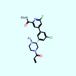 C=CC(=O)N1CCN(C(C)=O)[C@H](c2cc(Cl)cc(-c3cc(F)nc(C(=O)NC)c3)c2)C1